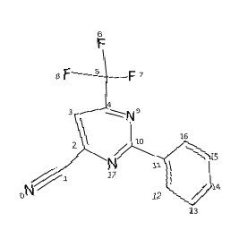 N#Cc1cc(C(F)(F)F)nc(-c2ccccc2)n1